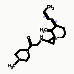 C=C1/C(=C\C=C/C)CCC[C@@]12CC2NCC(=O)N1CCN(C)CC1